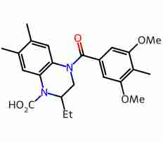 CCC1CN(C(=O)c2cc(OC)c(C)c(OC)c2)c2cc(C)c(C)cc2N1C(=O)O